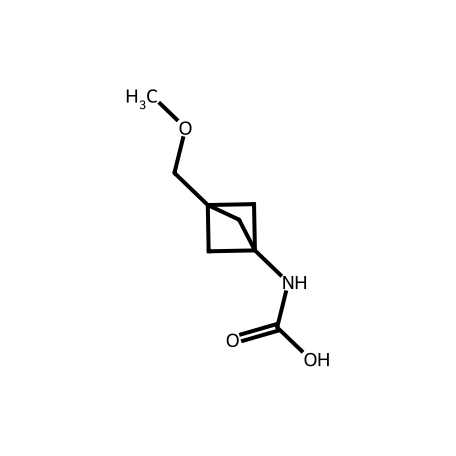 COCC12CC(NC(=O)O)(C1)C2